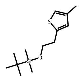 Cc1csc(CCO[Si](C)(C)C(C)(C)C)c1